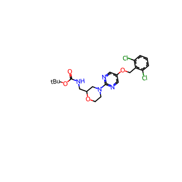 CC(C)(C)OC(=O)NCC1CN(c2ncc(OCc3c(Cl)cccc3Cl)cn2)CCO1